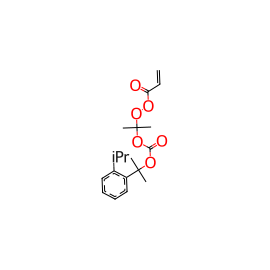 C=CC(=O)OOC(C)(C)OC(=O)OC(C)(C)c1ccccc1C(C)C